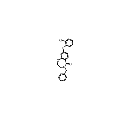 O=C1c2ccc(Oc3ccccc3Cl)nc2OCCN1Cc1ccccc1